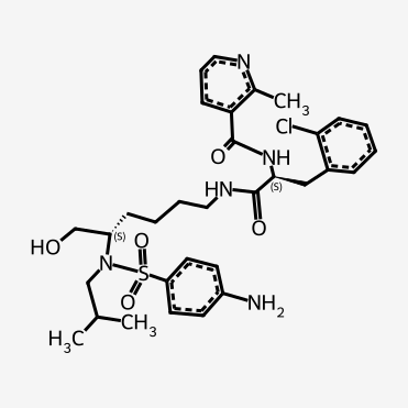 Cc1ncccc1C(=O)N[C@@H](Cc1ccccc1Cl)C(=O)NCCCC[C@@H](CO)N(CC(C)C)S(=O)(=O)c1ccc(N)cc1